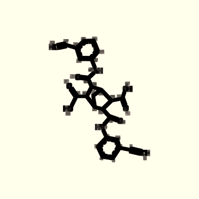 C#Cc1cccc(NC(=O)C2C3CC(C2C(=O)O)C(C(=O)Nc2cccc(C#C)c2)C3C(=O)O)c1